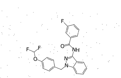 O=C(Nc1nn(Cc2ccc(OC(F)F)cc2)c2ccccc12)c1cccc(F)c1